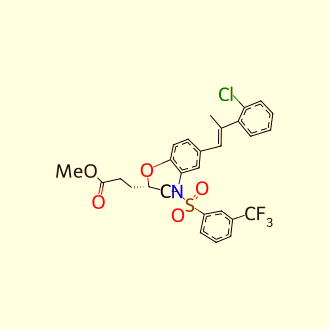 COC(=O)CC[C@H]1CN(S(=O)(=O)c2cccc(C(F)(F)F)c2)c2cc(/C=C(\C)c3ccccc3Cl)ccc2O1